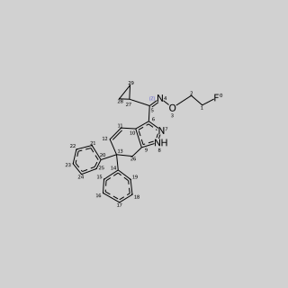 FCCO/N=C(\c1n[nH]c2c1C=CC(c1ccccc1)(c1ccccc1)C2)C1CC1